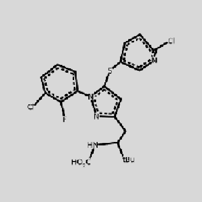 CC(C)(C)C(Cc1cc(Sc2ccc(Cl)nc2)n(-c2cccc(Cl)c2F)n1)NC(=O)O